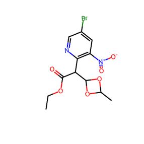 CCOC(=O)C(c1ncc(Br)cc1[N+](=O)[O-])C1OC(C)O1